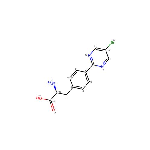 N[C@@H](Cc1ccc(-c2ncc(Br)cn2)cc1)C(=O)O